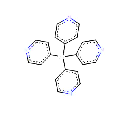 c1c[c]([Zn]([c]2ccncc2)([c]2ccncc2)[c]2ccncc2)ccn1